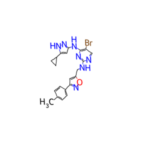 Cc1ccc(-c2cc(CNc3ncc(Br)c(Nc4cc(C5CC5)[nH]n4)n3)on2)cc1